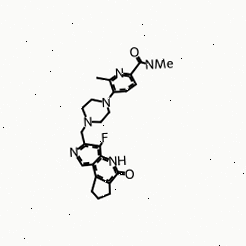 CNC(=O)c1ccc(N2CCN(Cc3ncc4c5c(c(=O)[nH]c4c3F)CCC5)CC2)c(C)n1